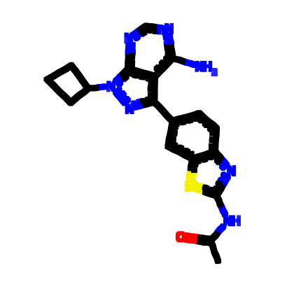 CC(=O)Nc1nc2ccc(-c3nn(C4CCC4)c4ncnc(N)c34)cc2s1